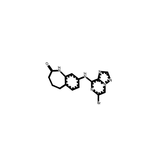 O=C1CCCc2ccc(Nc3nc(Br)cn4ncnc34)cc2N1